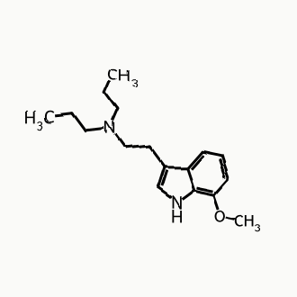 CCCN(CCC)CCc1c[nH]c2c(OC)cccc12